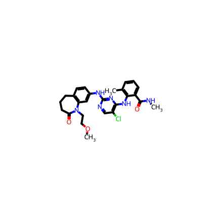 CNC(=O)c1cccc(C)c1Nc1nc(Nc2ccc3c(c2)N(CCOC)C(=O)CCC3)ncc1Cl